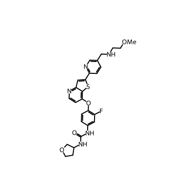 COCCNCc1ccc(-c2cc3nccc(Oc4ccc(NC(=O)NC5CCOC5)cc4F)c3s2)nc1